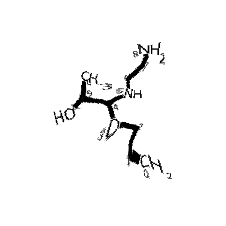 C=CCOC(NCCN)C(C)O